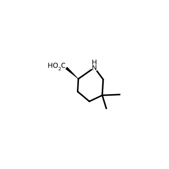 CC1(C)CC[C@@H](C(=O)O)NC1